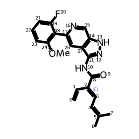 C=C/C(=C\C=C(C)C)C(=O)Nc1n[nH]c2cnc(-c3c(F)cccc3OC)cc12